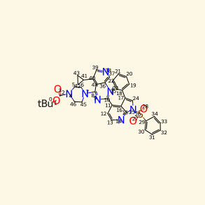 CC(C)(C)OC(=O)N1CCN(c2nc(-c3ccnc4c3c(-c3ccccc3)cn4S(=O)(=O)c3ccccc3)nc3cncc(C4CC4)c23)CC1